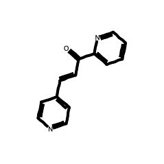 O=C(/C=C/c1ccncc1)c1ccccn1